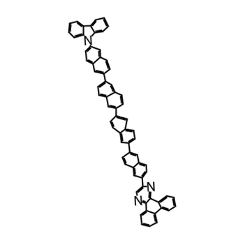 c1ccc2c(c1)c1ccccc1c1nc(-c3ccc4cc(-c5ccc6cc(-c7ccc8cc(-c9ccc%10cc(-n%11c%12ccccc%12c%12ccccc%12%11)ccc%10c9)ccc8c7)ccc6c5)ccc4c3)cnc21